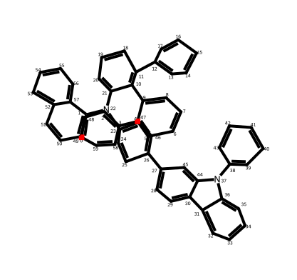 c1ccc(-c2ccccc2-c2c(-c3ccccc3)cccc2N(c2ccc(-c3ccc4c5ccccc5n(-c5ccccc5)c4c3)cc2)c2cccc3ccccc23)cc1